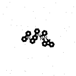 CC1(C)c2ccccc2-c2cccc(-c3nc(-n4c5ccccc5c5cc6c(-n7c8ccccc8c8ccccc87)cccc6cc54)c4ccccc4n3)c21